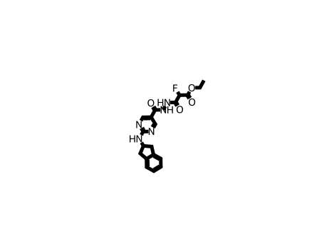 CCOC(=O)C(F)C(=O)NNC(=O)c1cnc(NC2Cc3ccccc3C2)nc1